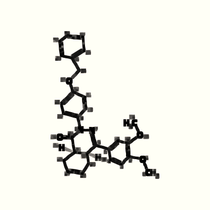 COc1ccc(C2=NN(c3ccc(OCc4ccccc4)cc3)C(=O)[C@@H]3CC=CC[C@H]23)cc1OC